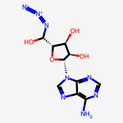 [N-]=[N+]=NC(O)[C@H]1O[C@@H](n2cnc3c(N)ncnc32)[C@H](O)[C@@H]1O